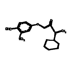 CN(C(=O)COc1ccc(C=O)c([N+](=O)[O-])c1)C1CCCCC1